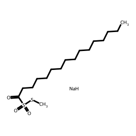 CCCCCCCCCCCCCCCC(=O)S(=O)(=O)SC.[NaH]